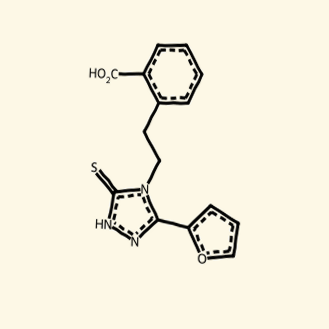 O=C(O)c1ccccc1CCn1c(-c2ccco2)n[nH]c1=S